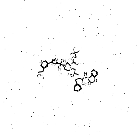 CCCc1cncc(-c2cnc(C(C)(C)N3CCN(C[C@@H](O)C[C@@H](Cc4ccccc4)C(=O)N[C@H]4c5ccccc5OC[C@H]4O)[C@H](C(=O)NCC(F)(F)F)C3)o2)c1